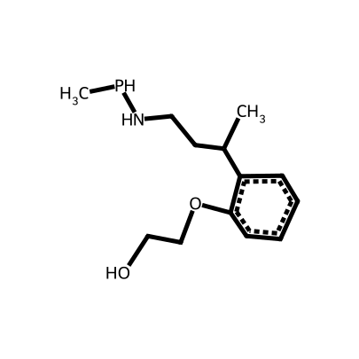 CPNCCC(C)c1ccccc1OCCO